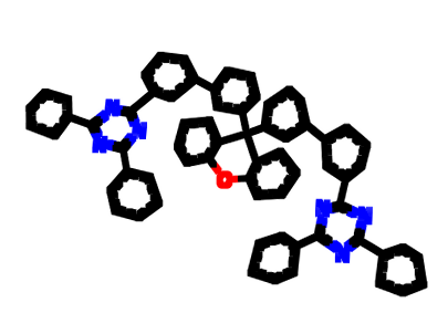 c1ccc(-c2nc(-c3ccccc3)nc(-c3cccc(-c4cccc(C5(c6cccc(-c7cccc(-c8nc(-c9ccccc9)nc(-c9ccccc9)n8)c7)c6)c6ccccc6Oc6ccccc65)c4)c3)n2)cc1